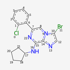 Clc1ccccc1-c1cn2c(Br)cnc2c(NC2CCCC2)n1